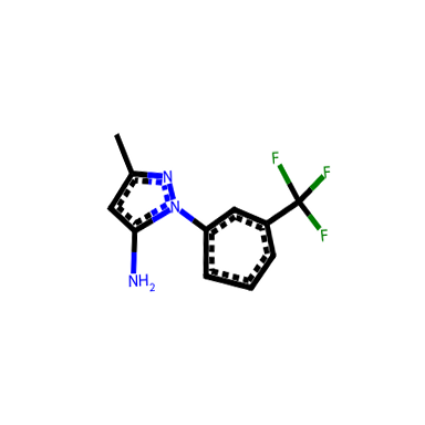 Cc1cc(N)n(-c2cccc(C(F)(F)F)c2)n1